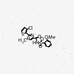 COc1ccccc1S(=O)(=O)NC(=O)c1cn(C)c(-c2sccc2Cl)n1